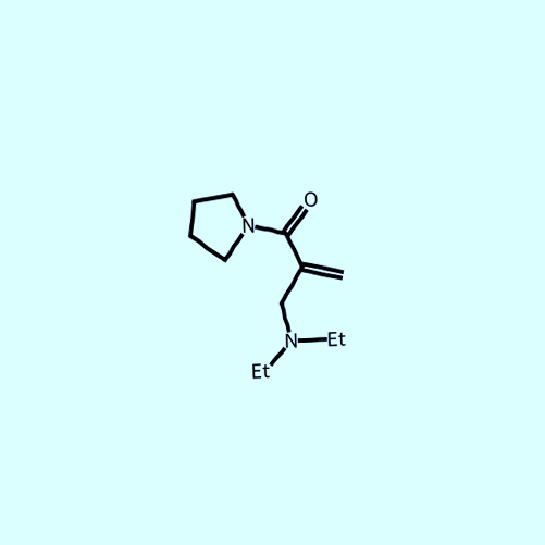 C=C(CN(CC)CC)C(=O)N1CCCC1